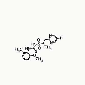 COc1cccc(C)c1NC(=S)NS(=O)(=O)C(C)Cc1ncc(F)cn1